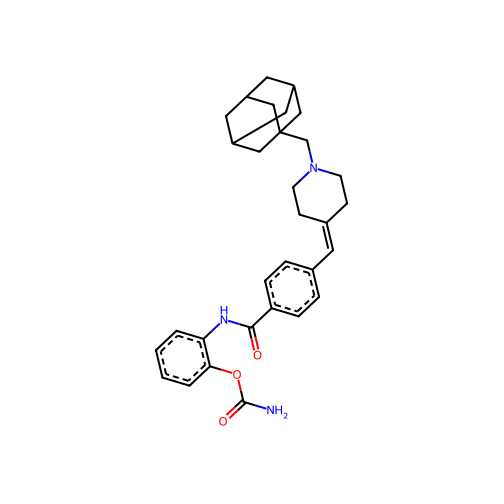 NC(=O)Oc1ccccc1NC(=O)c1ccc(C=C2CCN(CC34CC5CC(CC(C5)C3)C4)CC2)cc1